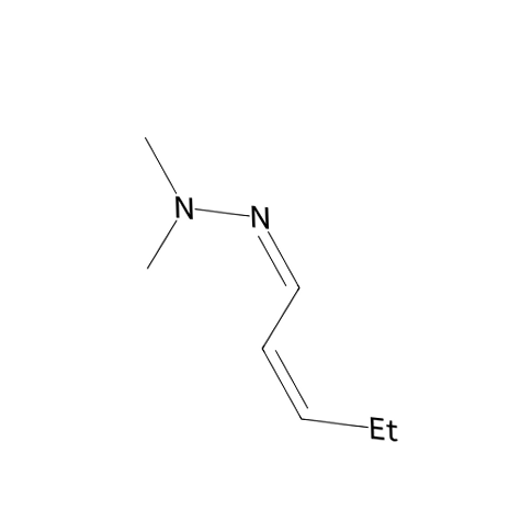 CC/C=C\C=N/N(C)C